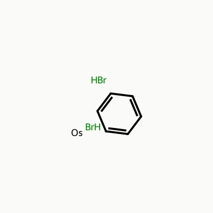 Br.Br.[Os].c1ccccc1